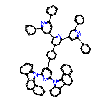 c1ccc(-c2cc(-c3cc(-c4ccc(-c5cc(-n6c7ccccc7c7ccc8ccccc8c76)nc(-n6c7ccccc7c7ccc8ccccc8c76)c5)cc4)cc(-c4cc(-c5ccccc5)nc(-c5ccccc5)c4)n3)cc(-c3ccccc3)n2)cc1